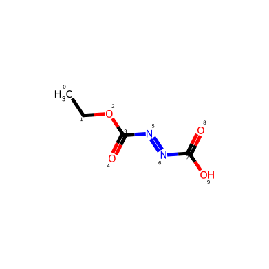 CCOC(=O)/N=N/C(=O)O